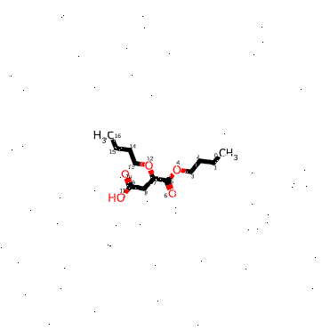 CCCCOC(=O)C(CC(=O)O)OCCCC